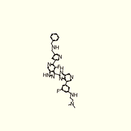 CN(C)CCNc1cc(F)cc(-c2cncc3[nH]c(-c4n[nH]c5cnc(-c6cncc(CNCc7ccccc7)c6)c(F)c45)nc23)c1